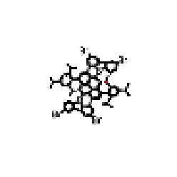 CC(C)c1cc(C(C)C)c(-c2cc3c4c(cc5c(-c6c(C(C)C)cc(C(C)C)cc6C(C)C)cc6c7c(cc2c4c57)B2c4ccc(Br)cc4-c4cc(Br)cc-6c42)B2c4ccc(Br)cc4-c4cc(Br)cc-3c42)c(C(C)C)c1